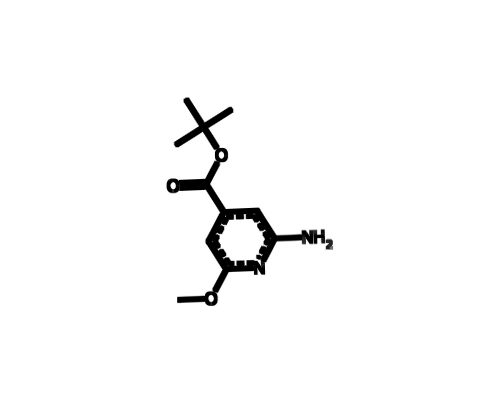 COc1cc(C(=O)OC(C)(C)C)cc(N)n1